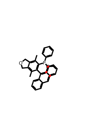 COc1ccc2ccccc2c1-c1c(C)c2c(c(C)c1P(c1ccccc1)c1ccccc1)COC2